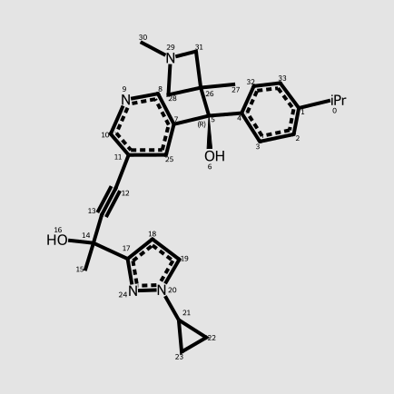 CC(C)c1ccc([C@](O)(c2cncc(C#CC(C)(O)c3ccn(C4CC4)n3)c2)C2(C)CN(C)C2)cc1